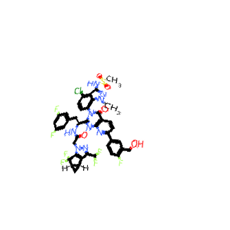 Cn1nc(NS(C)(=O)=O)c2c(Cl)ccc(-n3c([C@H](Cc4cc(F)cc(F)c4)NC(=O)Cn4nc(C(F)F)c5c4C(F)(F)[C@@H]4C[C@H]54)nc4nc(-c5ccc(F)c(CO)c5)ccc4c3=O)c21